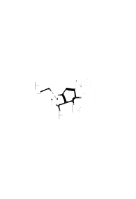 Cc1c([N+](=O)[O-])cc2c(c(F)nn2CC(F)F)c1Br